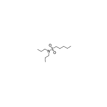 CCCCCS(=O)(=O)N(CCC)CCC